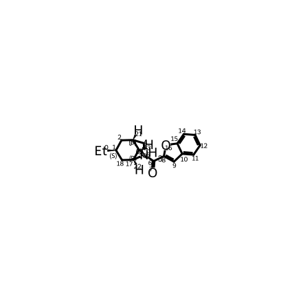 CC[C@H]1C[C@@H]2CN(C(=O)c3cc4ccccc4o3)[C@H](C1)[C@@H]2C